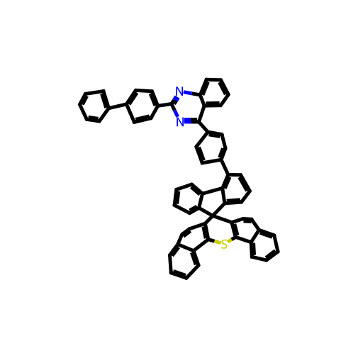 c1ccc(-c2ccc(-c3nc(-c4ccc(-c5cccc6c5-c5ccccc5C65c6ccc7ccccc7c6Sc6c5ccc5ccccc65)cc4)c4ccccc4n3)cc2)cc1